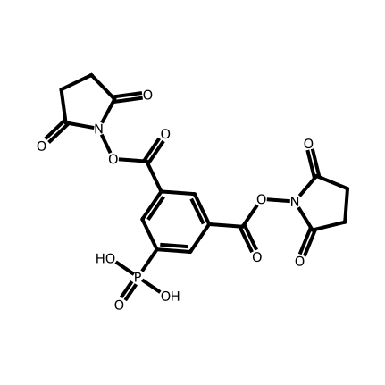 O=C(ON1C(=O)CCC1=O)c1cc(C(=O)ON2C(=O)CCC2=O)cc(P(=O)(O)O)c1